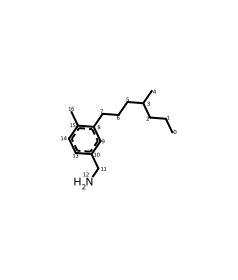 CCCC(C)CCCc1cc(CN)ccc1C